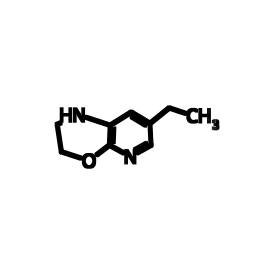 CCc1cnc2c(c1)NCCO2